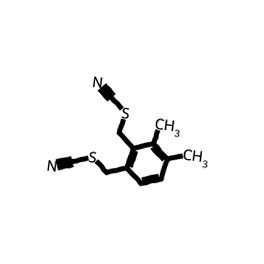 Cc1ccc(CSC#N)c(CSC#N)c1C